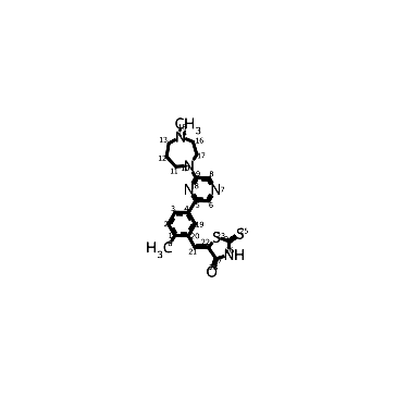 Cc1ccc(-c2cncc(N3CCCN(C)CC3)n2)cc1C=C1SC(=S)NC1=O